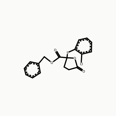 O=C1CCC(Sc2ccccc2Cl)(C(=O)OCc2ccccc2)O1